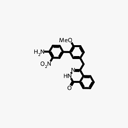 COc1ccc(Cc2n[nH]c(=O)c3ccccc23)cc1-c1ccc(N)c([N+](=O)[O-])c1